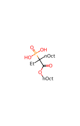 CCCCCCCCOC(=O)C(CC)(CCCCCCCC)P(=O)(O)O